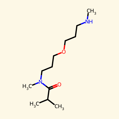 CNCCCOCCCN(C)C(=O)C(C)C